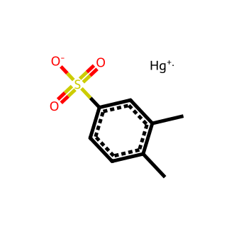 Cc1ccc(S(=O)(=O)[O-])cc1C.[Hg+]